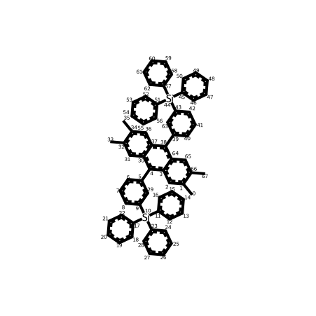 Cc1cc2c(-c3cccc([Si](c4ccccc4)(c4ccccc4)c4ccccc4)c3)c3cc(C)c(C)cc3c(-c3cccc([Si](c4ccccc4)(c4ccccc4)c4ccccc4)c3)c2cc1C